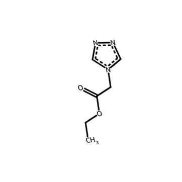 CCOC(=O)Cn1cnnc1